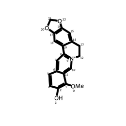 COc1c(O)ccc2cc3[n+](cc12)CCc1cc2c(cc1-3)OCO2